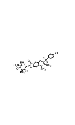 BC(c1ccc2c(c1)CN(C1CC(B)(B)C(=O)N(B)C1=O)C2=O)N(B)C(=O)C(F)(F)c1ccc(Cl)cc1